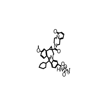 COc1ccc2c(c1)C1CC1(C(=O)N1CCn3c(cccc3=O)C1)Cn1c-2c(C2CCCCC2)c2ccc(C(=O)NS(=O)(=O)N(C)C)cc21